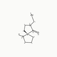 CC(=O)CN1CC[C@]2(CCCN2C)C1=O